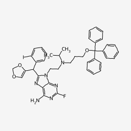 CC(C)N(CCCOC(c1ccccc1)(c1ccccc1)c1ccccc1)CCn1c(C(C2=COCO2)c2ccccc2I)nc2c(N)nc(F)nc21